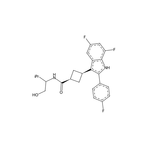 CC(C)C(CO)NC(=O)[C@H]1C[C@@H](c2c(-c3ccc(F)cc3)[nH]c3c(F)cc(F)cc32)C1